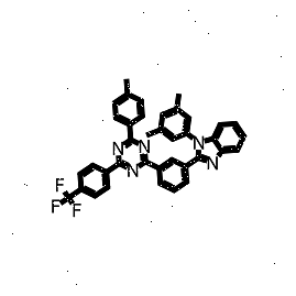 Cc1ccc(-c2nc(-c3ccc(C(F)(F)F)cc3)nc(-c3cccc(-c4nc5ccccc5n4-c4cc(C)cc(C)c4)c3)n2)cc1